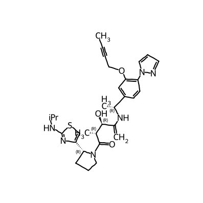 C=C(N[C@H](C)c1ccc(-n2cccn2)c(OCC#CC)c1)[C@H](O)[C@@H](C)C(=O)N1CCC[C@@H]1c1csc(NC(C)C)n1